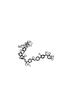 CCN(C)S(=O)(=O)Nc1ccc(F)c(Oc2ccc3ncn(CCC(C)C4CCN(C(=O)CN5CCC(c6ccc(NC7CCC(=O)NC7=O)cc6F)CC5)CC4)c(=O)c3c2)c1C#N